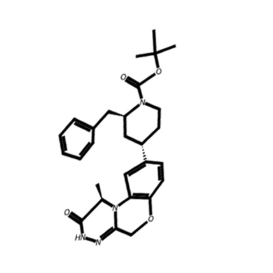 C[C@@H]1C(=O)NN=C2COc3ccc([C@H]4CCN(C(=O)OC(C)(C)C)[C@H](Cc5ccccc5)C4)cc3N21